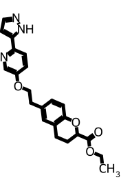 CCOC(=O)C1CCc2cc(CCOc3ccc(-c4ccn[nH]4)nc3)ccc2O1